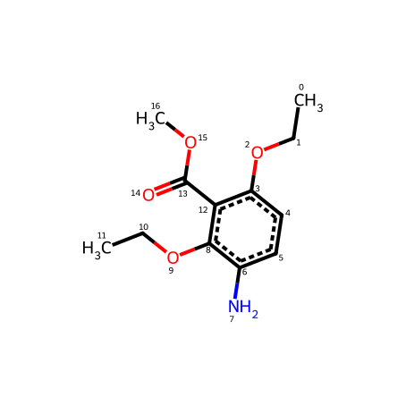 CCOc1ccc(N)c(OCC)c1C(=O)OC